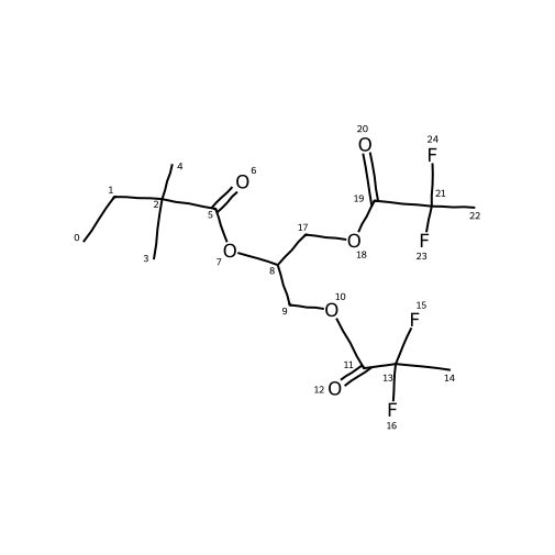 CCC(C)(C)C(=O)OC(COC(=O)C(C)(F)F)COC(=O)C(C)(F)F